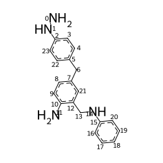 NNc1ccc(Cc2ccc(N)c(CNc3ccccc3)c2)cc1